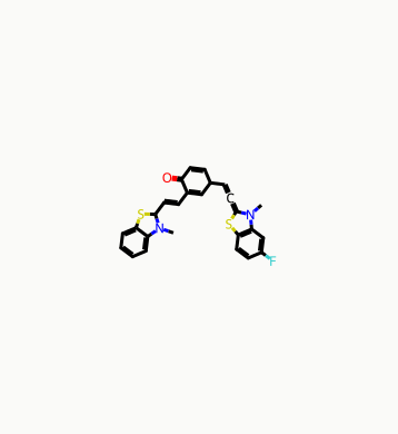 CN1C(=C=CC2C=CC(=O)C(/C=C/C3Sc4ccccc4N3C)=C2)Sc2ccc(F)cc21